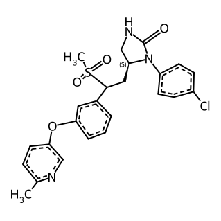 Cc1ccc(Oc2cccc(C(C[C@H]3CNC(=O)N3c3ccc(Cl)cc3)S(C)(=O)=O)c2)cn1